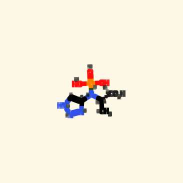 C[C@@H](C(=O)O)N(c1c[nH]nn1)P(=O)(O)O